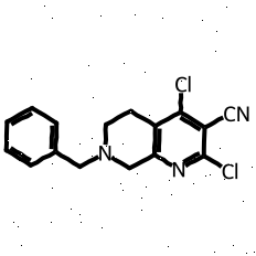 N#Cc1c(Cl)nc2c(c1Cl)CCN(Cc1ccccc1)C2